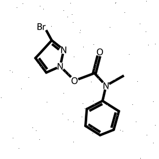 CN(C(=O)On1ccc(Br)n1)c1ccccc1